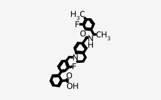 Cc1ccc(C(C)NC(=O)c2ccc3c(c2)CCCN3Cc2ccc(-c3ccccc3C(=O)O)cc2F)cc1F